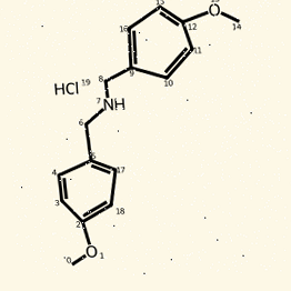 COc1ccc(CNCc2ccc(OC)cc2)cc1.Cl